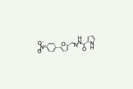 O=C(NN=Cc1ccc(-c2ccc([N+](=O)[O-])cc2)o1)c1ccc[nH]1